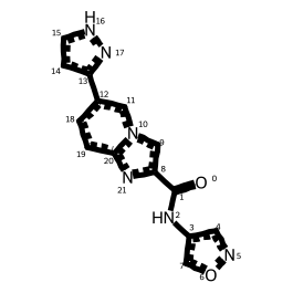 O=C(Nc1cnoc1)c1cn2cc(-c3cc[nH]n3)ccc2n1